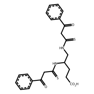 O=C(O)CCC(CNC(=S)CC(=O)c1ccccc1)NC(=S)CC(=O)c1ccccc1